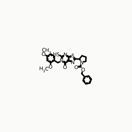 COc1ccc(Cn2c(S)nc3sc(C4CCCN4C(=O)OCc4ccccc4)nc3c2=O)c(OC)c1